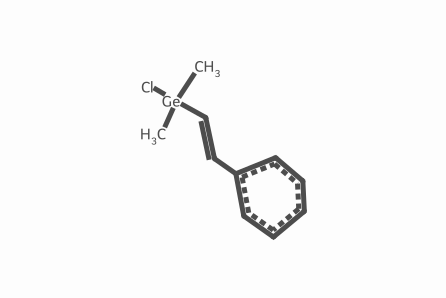 [CH3][Ge]([CH3])([Cl])[CH]=Cc1ccccc1